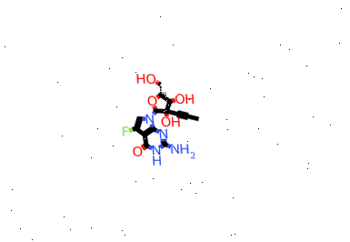 CC#CC1(O)C(O)[C@@H](CO)OC1n1cc(F)c2c(=O)[nH]c(N)nc21